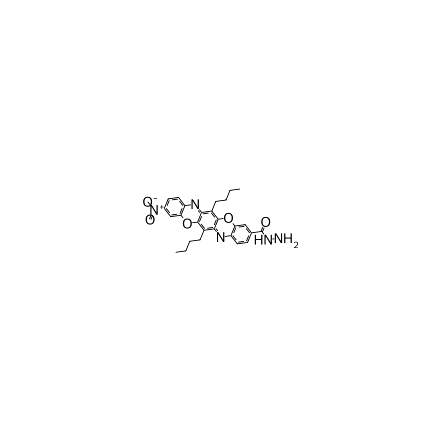 CCCCc1c2c(c(CCCC)c3c1=Nc1ccc(C(=O)NN)cc1O3)=Nc1ccc([N+](=O)[O-])cc1O2